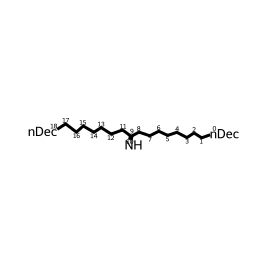 CCCCCCCCCCCCCCCCCCC(=N)CCCCCCCCCCCCCCCCC